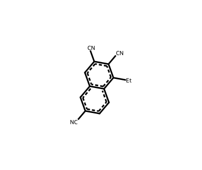 [CH2]Cc1c(C#N)c(C#N)cc2cc(C#N)ccc12